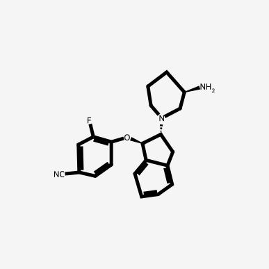 N#Cc1ccc(O[C@@H]2c3ccccc3C[C@H]2N2CCC[C@@H](N)C2)c(F)c1